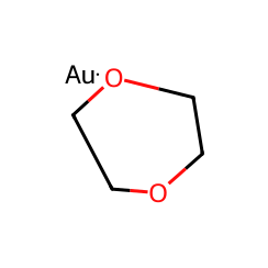 C1COCCO1.[Au]